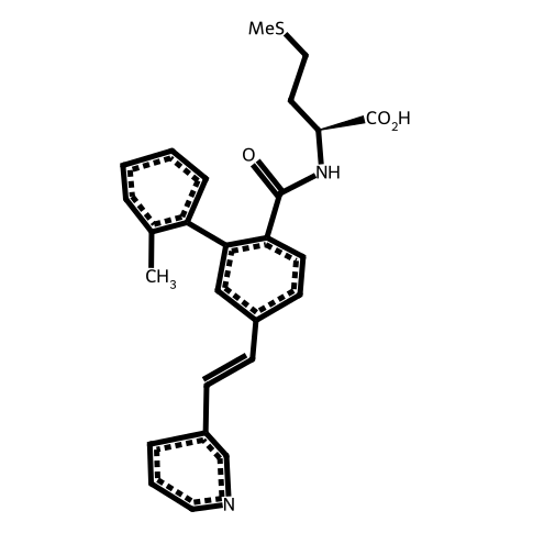 CSCC[C@H](NC(=O)c1ccc(C=Cc2cccnc2)cc1-c1ccccc1C)C(=O)O